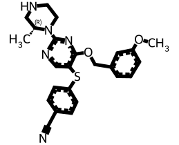 COc1cccc(COc2nc(N3CCNC[C@H]3C)ncc2Sc2ccc(C#N)cc2)c1